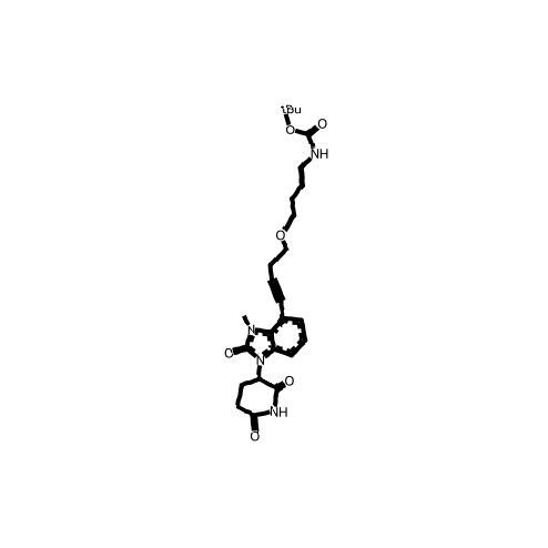 Cn1c(=O)n(C2CCC(=O)NC2=O)c2cccc(C#CCCOCCCCNC(=O)OC(C)(C)C)c21